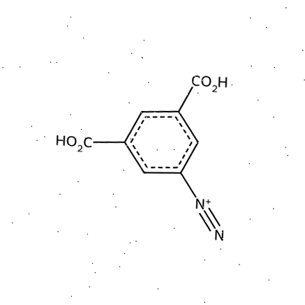 N#[N+]c1cc(C(=O)O)cc(C(=O)O)c1